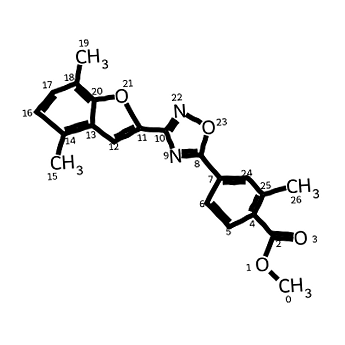 COC(=O)c1ccc(-c2nc(-c3cc4c(C)ccc(C)c4o3)no2)cc1C